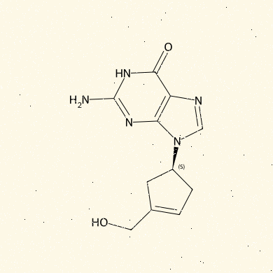 Nc1nc2c(ncn2[C@H]2CC=C(CO)C2)c(=O)[nH]1